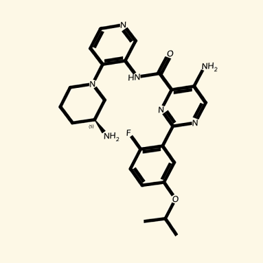 CC(C)Oc1ccc(F)c(-c2ncc(N)c(C(=O)Nc3cnccc3N3CCC[C@H](N)C3)n2)c1